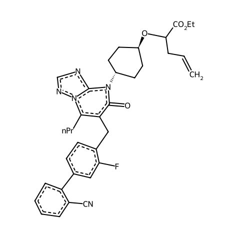 C=CCC(O[C@H]1CC[C@H](n2c(=O)c(Cc3ccc(-c4ccccc4C#N)cc3F)c(CCC)n3ncnc32)CC1)C(=O)OCC